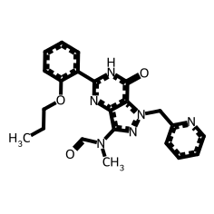 CCCOc1ccccc1-c1nc2c(N(C)C=O)nn(Cc3ccccn3)c2c(=O)[nH]1